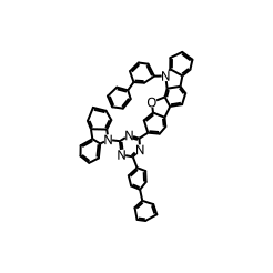 c1ccc(-c2ccc(-c3nc(-c4ccc5c(c4)oc4c5ccc5c6ccccc6n(-c6cccc(-c7ccccc7)c6)c54)nc(-n4c5ccccc5c5ccccc54)n3)cc2)cc1